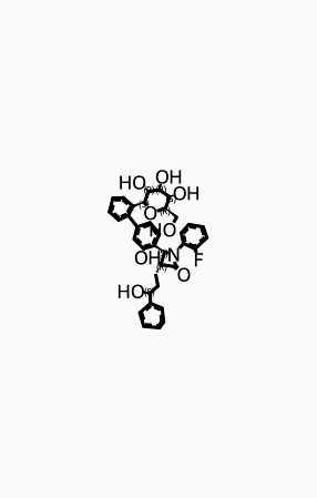 O=C1[C@H](CC[C@H](O)c2ccccc2)[C@@H](c2ccc(-c3ccccc3[C@@H]3O[C@H](CO)[C@@H](O)[C@H](O)[C@H]3O)cc2O)N1c1ccccc1F